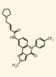 Cn1cc2c(=O)n(-c3ccc(C(F)(F)F)cc3)c3ccc(NC(=O)/C=C/CN4CCCC4)cc3c2n1